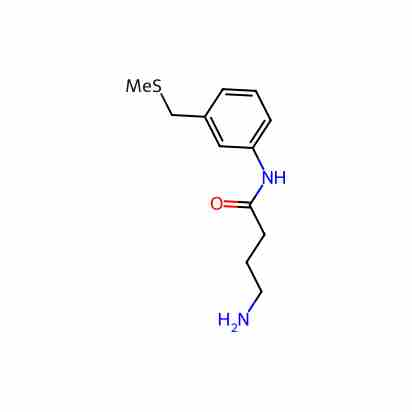 CSCc1cccc(NC(=O)CCCN)c1